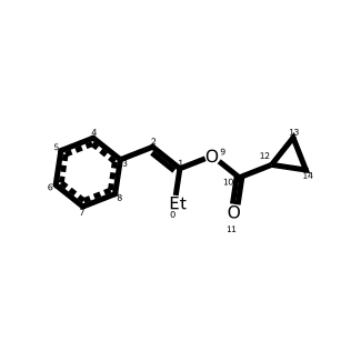 CC/C(=C\c1ccccc1)OC(=O)C1CC1